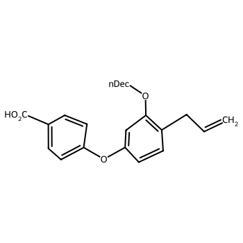 C=CCc1ccc(Oc2ccc(C(=O)O)cc2)cc1OCCCCCCCCCC